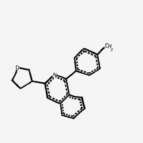 Cc1ccc(-c2nc(C3CCOC3)cc3ccccc23)cc1